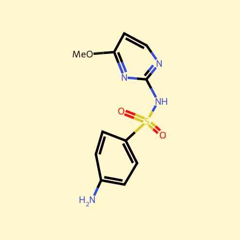 COc1ccnc(NS(=O)(=O)c2ccc(N)cc2)n1